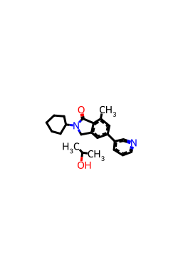 CC(C)O.Cc1cc(-c2cccnc2)cc2c1C(=O)N(C1CCCCC1)C2